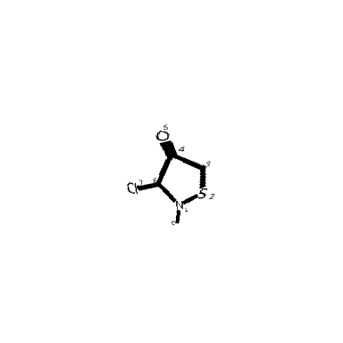 CN1SCC(=O)C1Cl